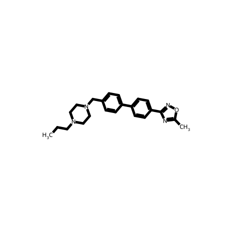 CCCN1CCN(Cc2ccc(-c3ccc(-c4noc(C)n4)cc3)cc2)CC1